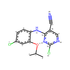 CC(C)Oc1cc(Cl)ccc1Nc1nc(Cl)ncc1C#N